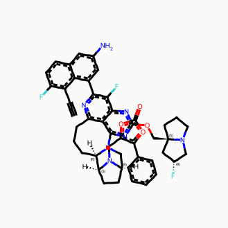 C#Cc1c(F)ccc2cc(N)cc(-c3nc4c5c(nc(OC[C@@]67CCCN6C[C@H](F)C7)nc5c3F)N3C[C@H]5CC[C@@H]([C@H]3CCC4)N5Cc3oc(=O)oc3-c3ccccc3)c12